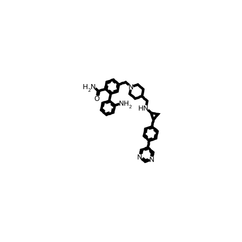 NC(=O)c1ccc(CN2CCC(CNC3CC3c3ccc(-c4cncnc4)cc3)CC2)cc1-c1ccccc1N